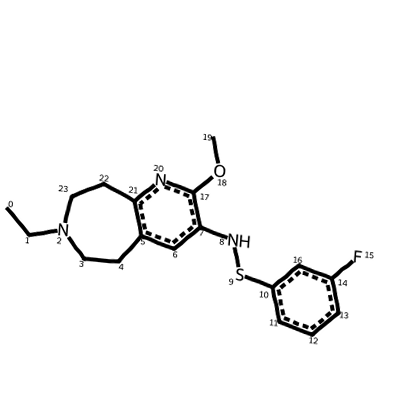 CCN1CCc2cc(NSc3cccc(F)c3)c(OC)nc2CC1